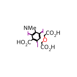 CNc1c(I)cc(I)c(C(=O)O)c1I.O=C(O)COCC(=O)O